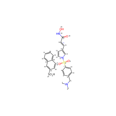 CN(C)Cc1ccc(S(=O)(=O)n2ccc(/C=C/C(=O)NO)c2)cc1.O=S(=O)(O)c1ccc2ccccc2c1